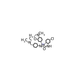 CCN(CC)Cc1ccc(N/C(=C2\C(=O)Nc3cc(Cl)ccc32)c2ccc3c(c2)OCCN3C)cc1